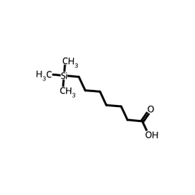 C[Si](C)(C)CCCCCCC(=O)O